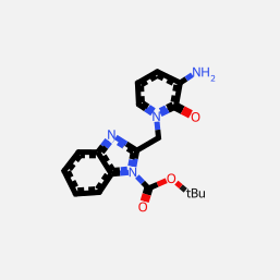 CC(C)(C)OC(=O)n1c(Cn2cccc(N)c2=O)nc2ccccc21